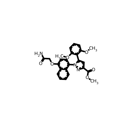 COC(=O)c1cc(-c2c(OC)cccc2OC)n(-c2ccc(OCC(N)=O)c3ccccc23)n1